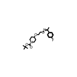 CC(=NOCCOC1CCN(C(=O)OC(C)(C)C)CC1)c1ccc(F)cc1